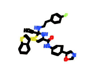 C#CC1(NCCc2ccc(F)cc2)NC(C(=O)Nc2ccc(-c3cnco3)cc2)=C[SH]1c1csc2ccccc12